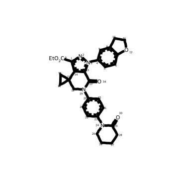 CCOC(=O)c1nn(-c2ccc3c(c2)CCO3)c2c1C1(CC1)CN(c1ccc(N3CCCCC3=O)cc1)C2=O